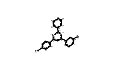 Clc1ccc(-c2cc(-c3cccc(Br)c3)nc(-c3ccccc3)n2)cc1